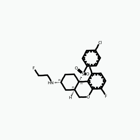 O=S(=O)(c1ccc(Cl)cc1)[C@@]12CC[C@@H](NCCF)C[C@@H]1COc1c(F)ccc(F)c12